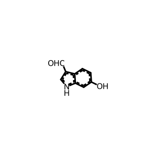 O=Cc1c[nH]c2cc(O)ccc12